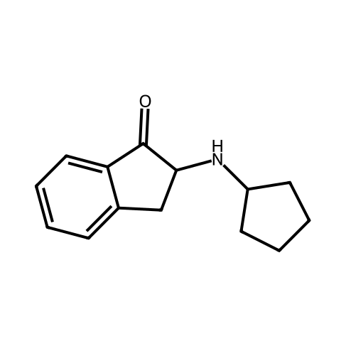 O=C1c2ccccc2CC1NC1CCCC1